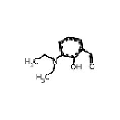 CCN(CC)c1cccc(C=O)c1O